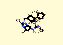 CCc1nc2c(C)cc(N(C)/C(=N\C#N)N(C)C)cc2n1Cc1ccc(-c2ccccc2C(=O)O)cc1